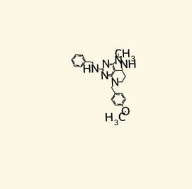 COc1ccc(CN2CCC3NN(C)c4nc(NCc5ccccc5)nc2c43)cc1